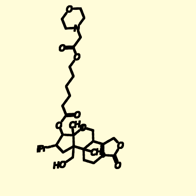 CC(C)C1CC2(CO)C3(C)CCC4=C(COC4=O)C3COC2(C)C1OC(=O)CCCCCOC(=O)CN1CCOCC1